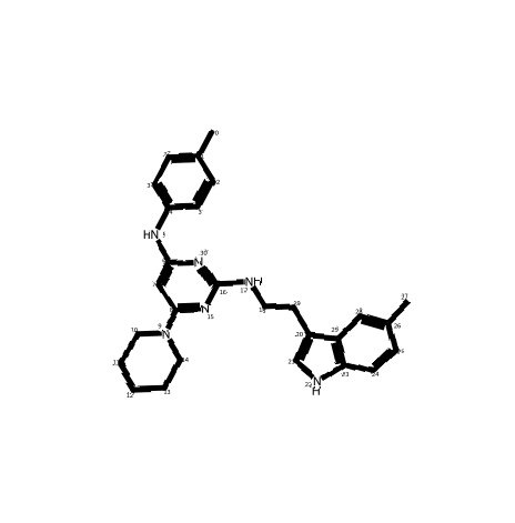 Cc1ccc(Nc2cc(N3CCCCC3)nc(NCCc3c[nH]c4ccc(C)cc34)n2)cc1